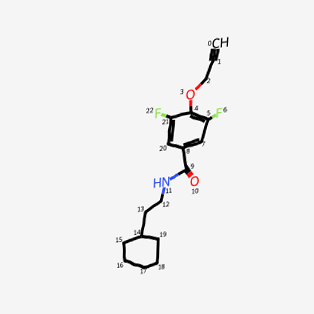 C#CCOc1c(F)cc(C(=O)NCCC2CCCCC2)cc1F